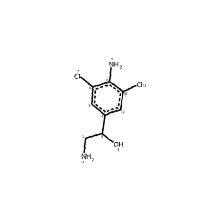 NCC(O)c1cc(Cl)c(N)c(Cl)c1